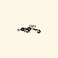 COc1cc2c(Nc3ccc(Br)cc3F)ncnc2cc1OCCCCN1CCCC1